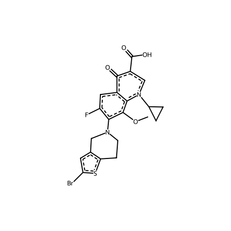 COc1c(N2CCc3sc(Br)cc3C2)c(F)cc2c(=O)c(C(=O)O)cn(C3CC3)c12